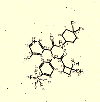 O=C(NC1CCC(F)(F)CC1)C(c1cncc(F)c1)N(C(=O)C1CCC1(O)O)c1ccc(S(F)(F)(F)(F)F)cc1